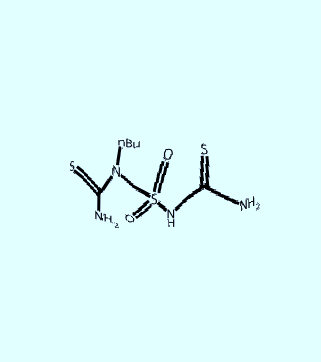 CCCCN(C(N)=S)S(=O)(=O)NC(N)=S